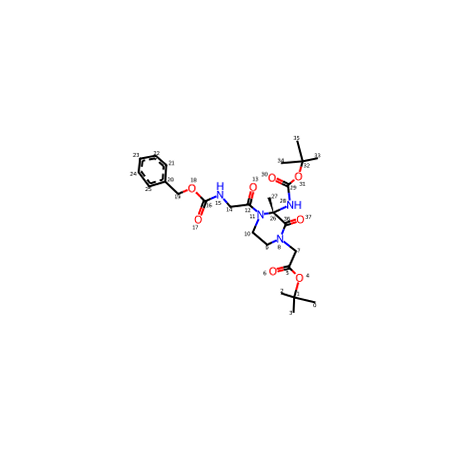 CC(C)(C)OC(=O)CN1CCN(C(=O)CNC(=O)OCc2ccccc2)[C@](C)(NC(=O)OC(C)(C)C)C1=O